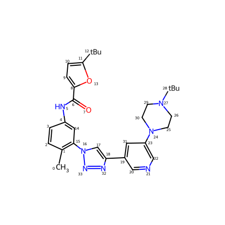 Cc1ccc(NC(=O)c2ccc(C(C)(C)C)o2)cc1-n1cc(-c2cncc(N3CCN(C(C)(C)C)CC3)c2)nn1